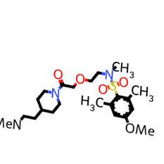 CNCCC1CCN(C(=O)COCCN(C)S(=O)(=O)c2c(C)cc(OC)cc2C)CC1